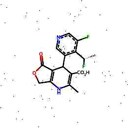 CC1=C(C(=O)O)C(c2cncc(F)c2[C@H](C)F)C2=C(COC2=O)N1